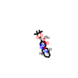 CC(C)(C)OC(=O)N[C@@H]1C[C@H]2CCC[C@@H](C1)N2c1ccc(B2OC(C)(C)C(C)(C)O2)cn1